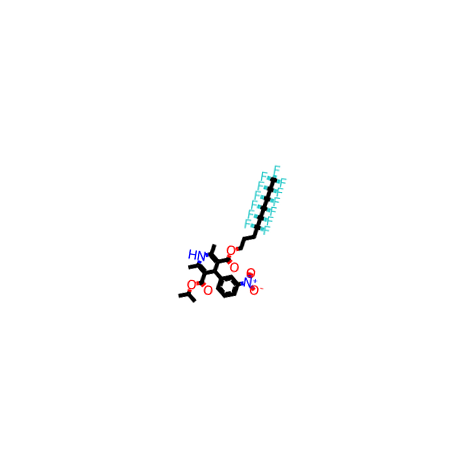 CC1=C(C(=O)OCCCC(F)(F)C(F)(F)C(F)(F)C(F)(F)C(F)(F)C(F)(F)F)C(c2cccc([N+](=O)[O-])c2)C(C(=O)OC(C)C)=C(C)N1